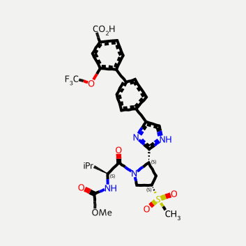 COC(=O)N[C@H](C(=O)N1C[C@@H](S(C)(=O)=O)C[C@H]1c1nc(-c2ccc(-c3ccc(C(=O)O)cc3OC(F)(F)F)cc2)c[nH]1)C(C)C